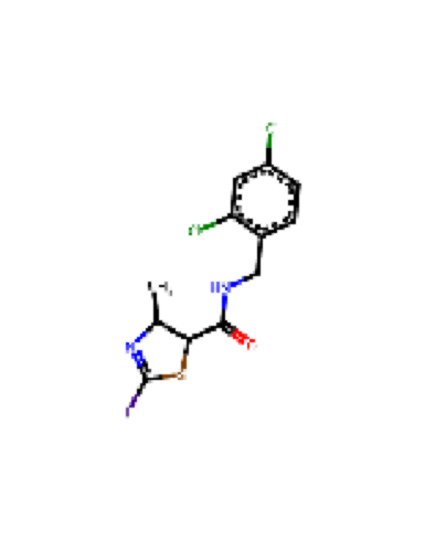 CC1N=C(I)SC1C(=O)NCc1ccc(Cl)cc1Cl